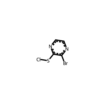 ClSc1nccnc1Br